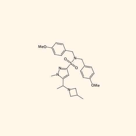 COc1ccc(CN(Cc2ccc(OC)cc2)S(=O)(=O)c2cc(C(C)N3CC(C)C3)n(C)n2)cc1